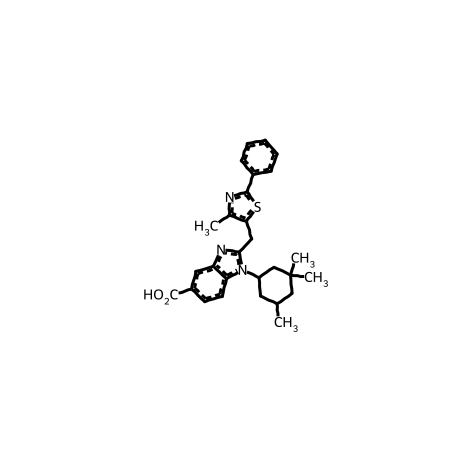 Cc1nc(-c2ccccc2)sc1Cc1nc2cc(C(=O)O)ccc2n1C1CC(C)CC(C)(C)C1